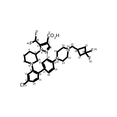 O=C(O)c1cnn(C2CCCN(c3cc(Cl)ccc3-c3ccc(N4CCN(CC5CC(F)(F)C5)CC4)cc3)C2)c1C(F)F